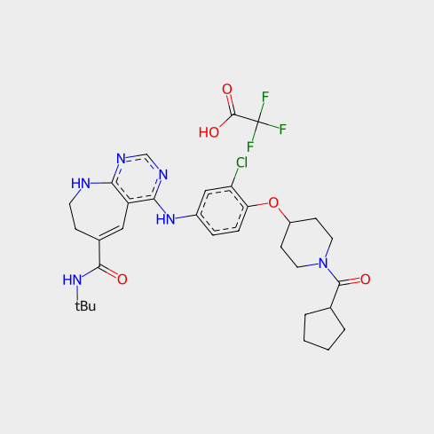 CC(C)(C)NC(=O)C1=Cc2c(ncnc2Nc2ccc(OC3CCN(C(=O)C4CCCC4)CC3)c(Cl)c2)NCC1.O=C(O)C(F)(F)F